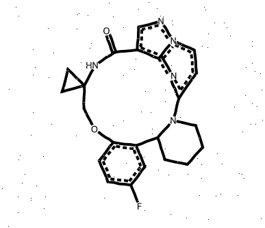 O=C1NC2(CC2)COc2ccc(F)cc2C2CCCCN2c2ccn3ncc1c3n2